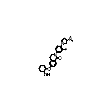 CN(C)[C@@H]1CCN(c2ccc(N3CCc4cc(OC5CCCCC5O)ccc4C3=O)cc2F)C1